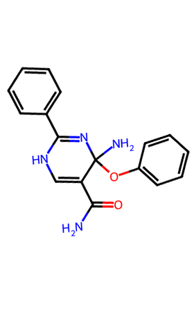 NC(=O)C1=CNC(c2ccccc2)=NC1(N)Oc1ccccc1